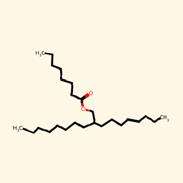 CCCCCCCCC(CCCCCCCC)COC(=O)CCCCCCC